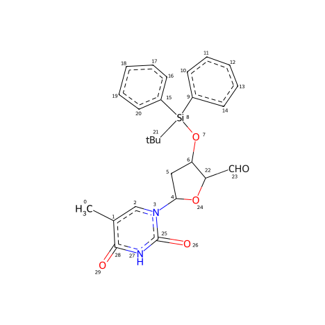 Cc1cn(C2CC(O[Si](c3ccccc3)(c3ccccc3)C(C)(C)C)C(C=O)O2)c(=O)[nH]c1=O